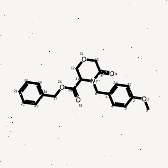 COc1ccc(CN2C(=O)COCC2C(=O)OCc2ccccc2)cc1